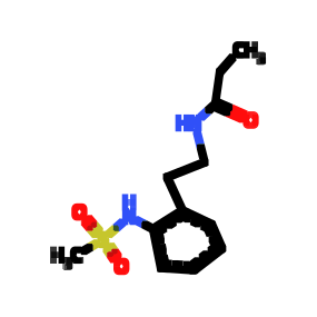 CCC(=O)NCCc1ccccc1NS(C)(=O)=O